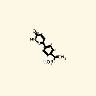 CC(C(=O)O)c1ccc(-c2ccc(=O)[nH]n2)cc1